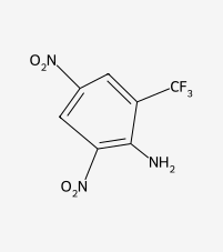 Nc1c([N+](=O)[O-])cc([N+](=O)[O-])cc1C(F)(F)F